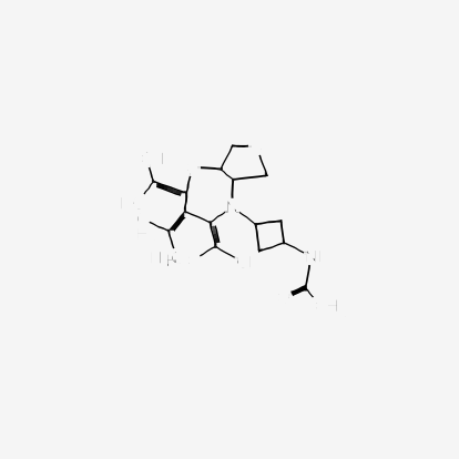 CC(=O)NC1CC(N2C(=C(C)C)C(=C(C)C)C(=C(C)C)OC3COCC32)C1